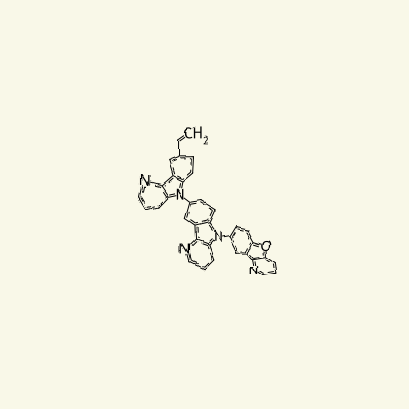 C=Cc1ccc2c(c1)c1ncccc1n2-c1ccc2c(c1)c1ncccc1n2-c1ccc2oc3cccnc3c2c1